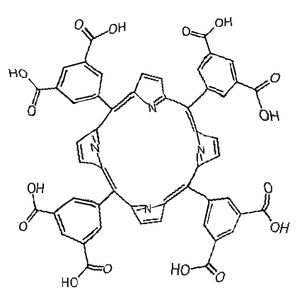 O=C(O)c1cc(C(=O)O)cc(C2=C3C=CC(=N3)C(c3cc(C(=O)O)cc(C(=O)O)c3)=C3C=CC(=N3)C(c3cc(C(=O)O)cc(C(=O)O)c3)=C3C=CC(=N3)C(c3cc(C(=O)O)cc(C(=O)O)c3)=C3C=CC2=N3)c1